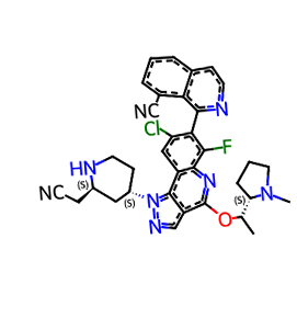 CC(Oc1nc2c(F)c(-c3nccc4cccc(C#N)c34)c(Cl)cc2c2c1cnn2[C@H]1CCN[C@H](CC#N)C1)[C@@H]1CCCN1C